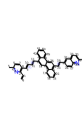 C=Cc1nc(C)ccc1/C=C/C=C/c1cc2c3ccccc3c(/C=C/c3ccc4nc(C)ccc4c3)cc2c2ccccc12